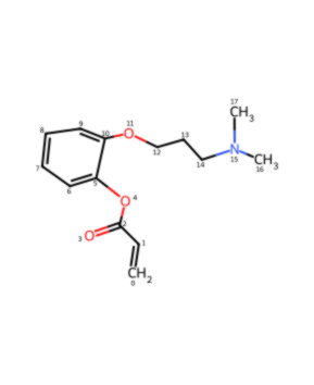 C=CC(=O)Oc1ccccc1OCCCN(C)C